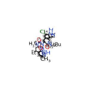 CCC(CCN(C)C(=O)N[C@@H]1Cc2cc(Cl)c3[nH]ncc3c2CN(CC(C)(C)C)C1=O)c1cc(C)n[nH]c1=O